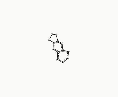 c1ccc2cc3c(cc2c1)CCO3